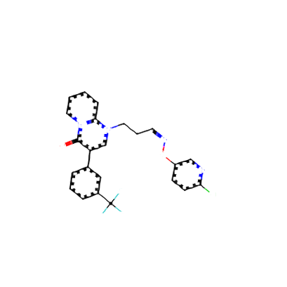 O=c1c(-c2cccc(C(F)(F)F)c2)cn(CC/C=N\Oc2ccc(Cl)nc2)c2cccc[n+]12